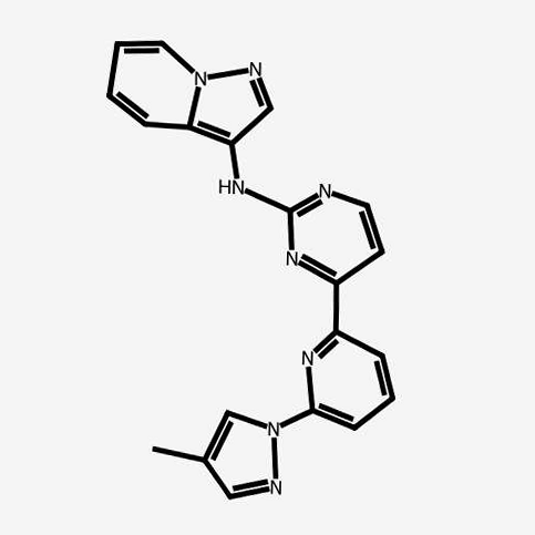 Cc1cnn(-c2cccc(-c3ccnc(Nc4cnn5ccccc45)n3)n2)c1